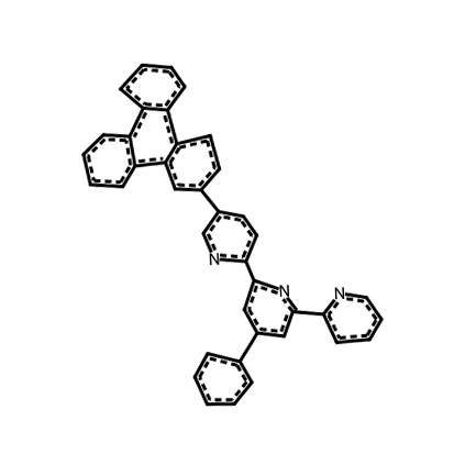 c1ccc(-c2cc(-c3ccccn3)nc(-c3ccc(-c4ccc5c6ccccc6c6ccccc6c5c4)cn3)c2)cc1